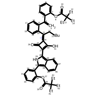 C=C(c1ccccc1OC(=O)C(CC)(CC)CC)c1ccccc1/C(CC(C)CC)=C1\C(=O)C(c2[nH]c(-c3ccccc3OC(=O)C(CC)(CC)CC)c3ccccc23)=C1O